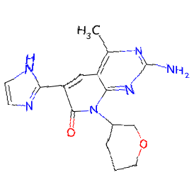 Cc1nc(N)nc2c1cc(-c1ncc[nH]1)c(=O)n2C1CCCOC1